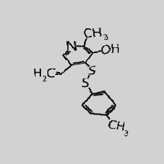 C=Cc1cnc(C)c(O)c1SSc1ccc(C)cc1